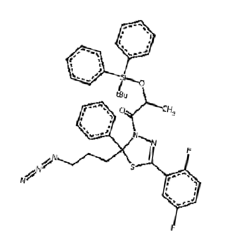 CC(O[Si](c1ccccc1)(c1ccccc1)C(C)(C)C)C(=O)N1N=C(c2cc(F)ccc2F)SC1(CCCN=[N+]=[N-])c1ccccc1